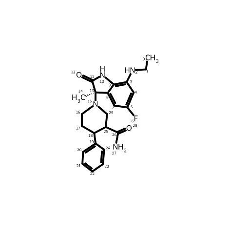 CCNc1cc(F)cc2c1NC(=O)[C@]2(C)N1CCC(c2ccccc2)C(C(N)=O)C1